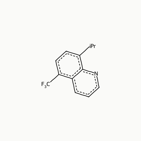 CC(C)c1ccc(C(F)(F)F)c2cccnc12